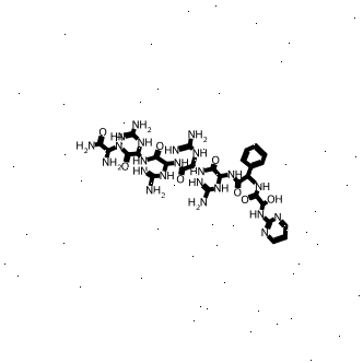 N=C(N)NC(NC(=O)C(NC(=N)N)NC(=O)C(NC(=N)N)NC(=O)C(NC(=N)N)NC(=O)C(NC(=O)C(O)Nc1ncccn1)c1ccccc1)C(=O)NC(N)C(N)=O